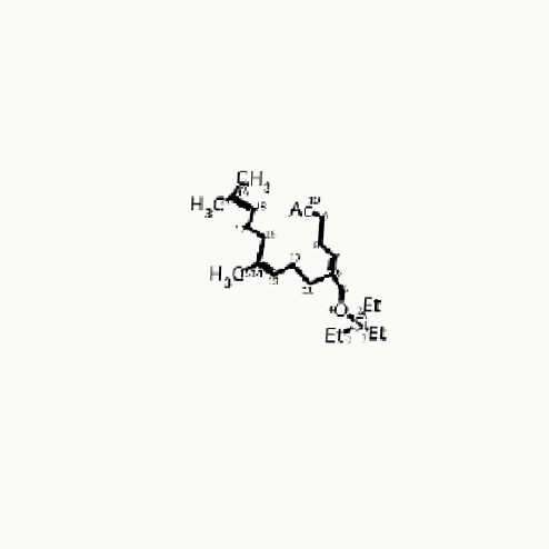 CC[Si](CC)(CC)OCC(=CCCC(C)=O)CCC=C(C)CCC=C(C)C